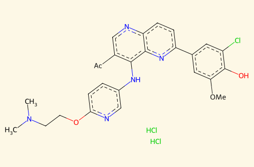 COc1cc(-c2ccc3ncc(C(C)=O)c(Nc4ccc(OCCN(C)C)nc4)c3n2)cc(Cl)c1O.Cl.Cl